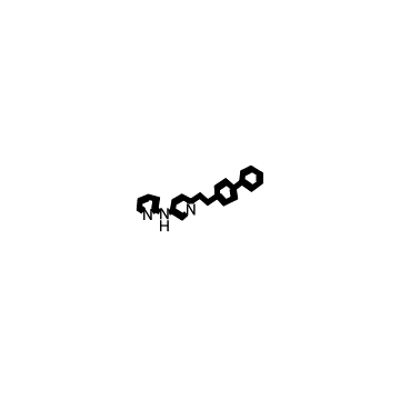 c1ccc(-c2ccc(CCc3ccc(Nc4ccccn4)cn3)cc2)cc1